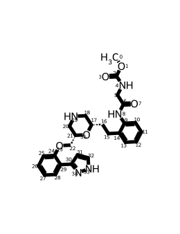 COC(=O)NCC(=O)Nc1ccccc1CC[C@H]1CNC[C@@H](COc2ccccc2-c2cc[nH]n2)O1